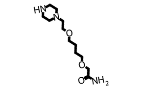 NC(=O)COCCCCOCCN1CCNCC1